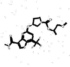 CNC(=O)c1csc2c(C(F)(F)F)cc(O[C@H]3CCN(C(=O)OC(C)COC)C3)nc12